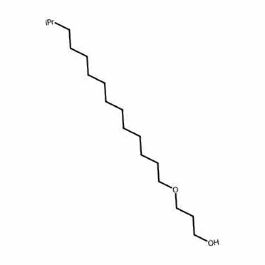 CC(C)CCCCCCCCCCCCOCCCO